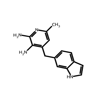 Cc1cc(Cc2ccc3cc[nH]c3c2)c(N)c(N)n1